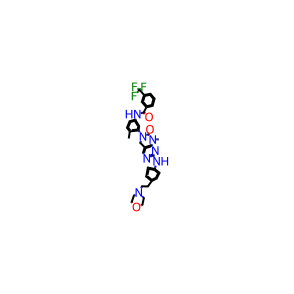 Cc1ccc(NC(=O)c2cccc(C(F)(F)F)c2)cc1N1Cc2cnc(Nc3ccc(CCN4CCOCC4)cc3)nc2N(C)C1=O